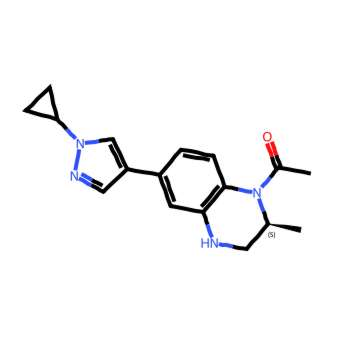 CC(=O)N1c2ccc(-c3cnn(C4CC4)c3)cc2NC[C@@H]1C